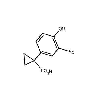 CC(=O)c1cc(C2(C(=O)O)CC2)ccc1O